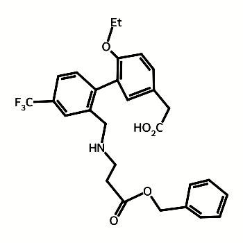 CCOc1ccc(CC(=O)O)cc1-c1ccc(C(F)(F)F)cc1CNCCC(=O)OCc1ccccc1